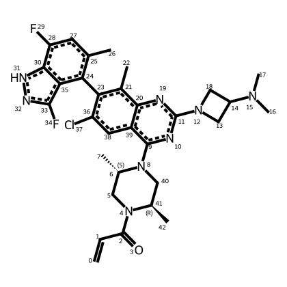 C=CC(=O)N1C[C@H](C)N(c2nc(N3CC(N(C)C)C3)nc3c(C)c(-c4c(C)cc(F)c5[nH]nc(F)c45)c(Cl)cc23)C[C@H]1C